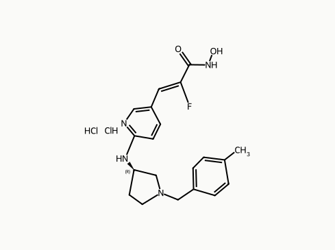 Cc1ccc(CN2CC[C@@H](Nc3ccc(C=C(F)C(=O)NO)cn3)C2)cc1.Cl.Cl